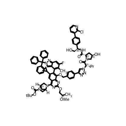 CO[C@@H](C)COc1nc(N2C[C@@H]3C[C@H]2CN3C(=O)OC(C)(C)C)c2cc(C3CC3)c(-c3c(C)c(F)cc4nn(C(c5ccccc5)(c5ccccc5)c5ccccc5)cc34)c(OCc3ccc(-c4cn([C@H](C(=O)N5C[C@H](O)C[C@H]5C(=O)N[C@@H](CO)c5ccc(-c6cccnc6Cl)cc5)C(C)C)nn4)cc3)c2n1